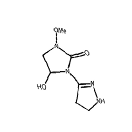 CON1CC(O)N(C2=NNCC2)C1=O